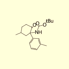 Cc1cccc(C2(NC(=O)OC(C)(C)C)CC(C)CCC2=O)c1